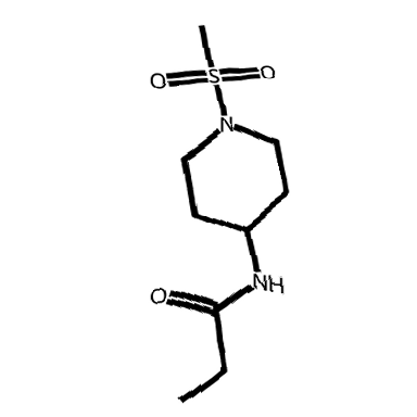 CCC(=O)NC1CCN(S(C)(=O)=O)CC1